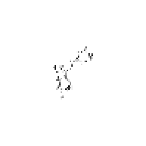 Cc1cnc(C(N)CCN2CCOCC2)cn1